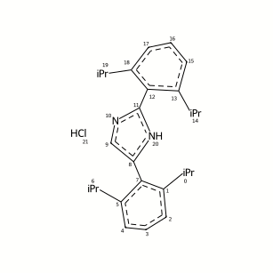 CC(C)c1cccc(C(C)C)c1-c1cnc(-c2c(C(C)C)cccc2C(C)C)[nH]1.Cl